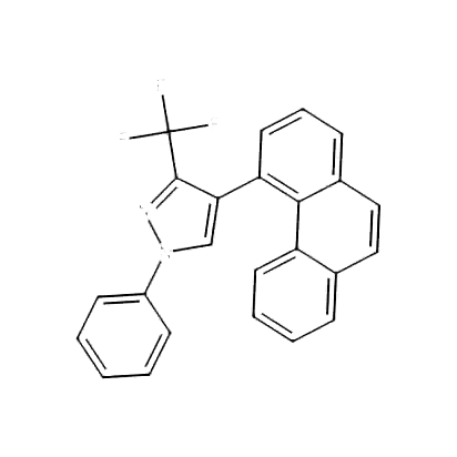 FC(F)(F)c1nn(-c2ccccc2)cc1-c1cccc2ccc3ccccc3c12